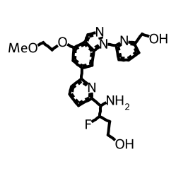 COCCOc1cc(-c2cccc(C(N)C(F)CCO)n2)cc2c1cnn2-c1cccc(CO)n1